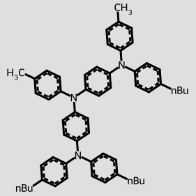 CCCCc1ccc(N(c2ccc(C)cc2)c2ccc(N(c3ccc(C)cc3)c3ccc(N(c4ccc(CCCC)cc4)c4ccc(CCCC)cc4)cc3)cc2)cc1